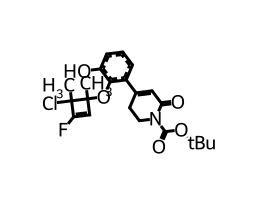 CC(C)(C)OC(=O)N1CCC(c2cccc(O)c2OC2(C)C=C(F)C2(C)Cl)=CC1=O